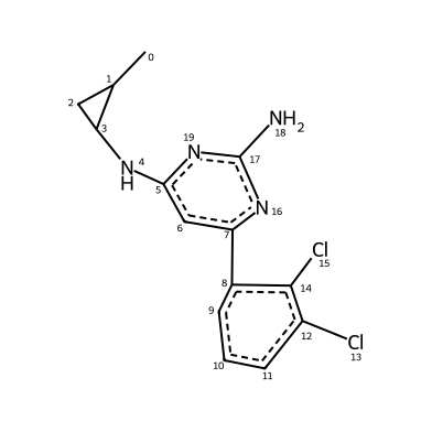 CC1CC1Nc1cc(-c2cccc(Cl)c2Cl)nc(N)n1